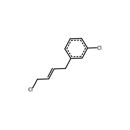 ClC/C=C/Cc1cccc(Cl)c1